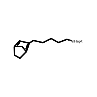 CCCCCCCCCCCCC1=C2CCC(=C1)C2